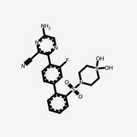 N#Cc1nc(N)cnc1-c1ccc(-c2ccccc2S(=O)(=O)N2CCS(O)(O)CC2)cc1F